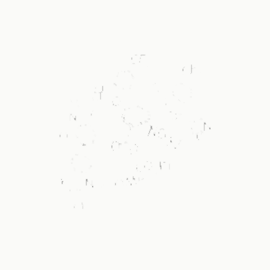 CC1COc2ccccc2N1C(=O)C(Cl)Cl.CCOC(=O)C(C)OC(=O)c1cc(Oc2ccc(C(F)(F)F)cc2Cl)ccc1[N+](=O)[O-].CCc1cccc(C)c1N(C(=O)CCl)C(C)COC.CS(=O)(=O)c1cc(C(F)(F)F)ccc1C(=O)c1cnoc1C1CC1